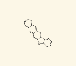 c1ccc2cc3cc4c(cc3cc2c1)sc1ccccc14